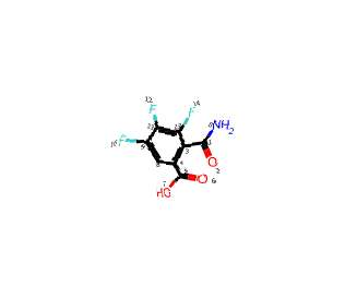 NC(=O)c1c(C(=O)O)cc(F)c(F)c1F